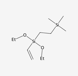 C=C[Si](CC[Si](C)(C)C)(OCC)OCC